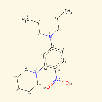 CCCN(CCC)c1ccc([N+](=O)[O-])c(N2CCCCC2)c1